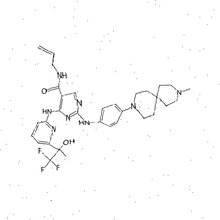 C=CCNC(=O)c1cnc(Nc2ccc(N3CCC4(CCN(C)CC4)CC3)cc2)nc1Nc1cccc(C(C)(O)C(F)(F)F)n1